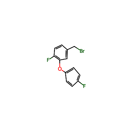 Fc1ccc(Oc2cc(CBr)ccc2F)cc1